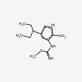 CCN(CC)c1ccc(C)c(NC(=N)SC)c1.I